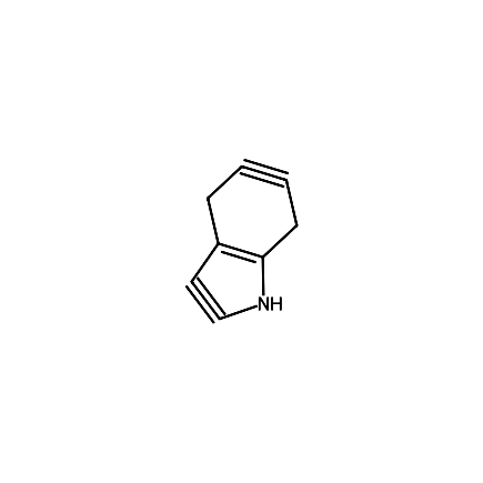 C1#CCc2[nH]c#cc2C1